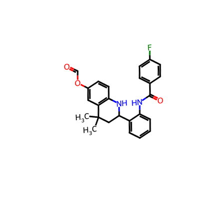 CC1(C)CC(c2ccccc2NC(=O)c2ccc(F)cc2)Nc2ccc(OC=O)cc21